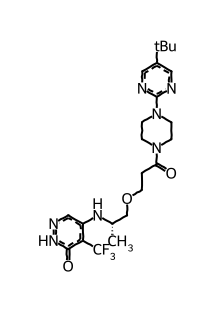 C[C@@H](COCCC(=O)N1CCN(c2ncc(C(C)(C)C)cn2)CC1)Nc1cn[nH]c(=O)c1C(F)(F)F